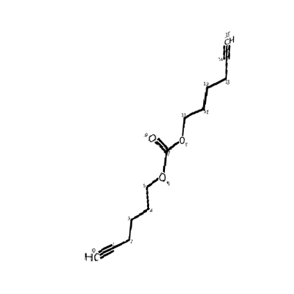 C#CCCCCOC(=O)OCCCCC#C